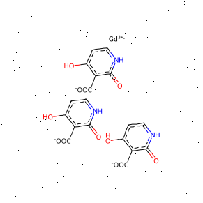 O=C([O-])c1c(O)cc[nH]c1=O.O=C([O-])c1c(O)cc[nH]c1=O.O=C([O-])c1c(O)cc[nH]c1=O.[Gd+3]